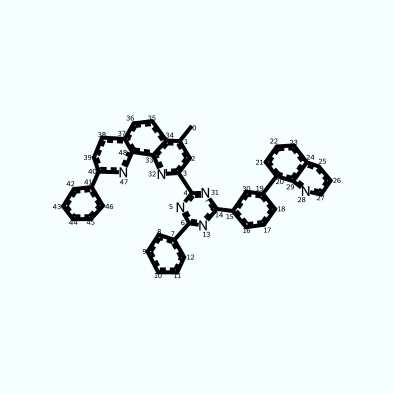 Cc1cc(-c2nc(-c3ccccc3)nc(-c3cccc(-c4cccc5cccnc45)c3)n2)nc2c1ccc1ccc(-c3ccccc3)nc12